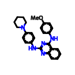 COc1ccc(Nc2nc(Nc3ccc(N4CCCCC4)cc3)nc3ccccc23)cc1